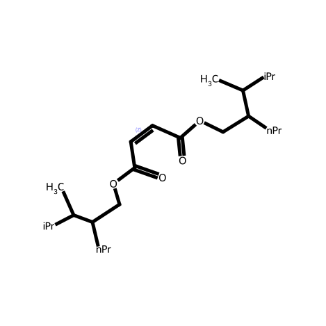 CCCC(COC(=O)/C=C\C(=O)OCC(CCC)C(C)C(C)C)C(C)C(C)C